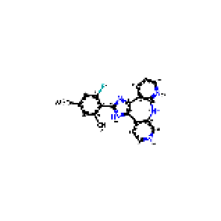 COc1cc(F)c(-c2nc3c([nH]2)-c2ccncc2Nc2ncccc2-3)c(C#N)c1